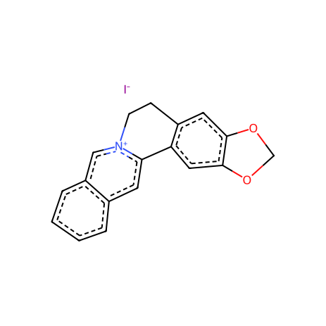 [I-].c1ccc2c[n+]3c(cc2c1)-c1cc2c(cc1CC3)OCO2